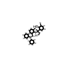 CCC(C)(Pc1c(C)cccc1CP(c1ccccc1)c1ccccc1)c1cccc(C)c1O